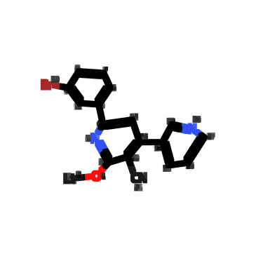 CCOc1nc(-c2cccc(Br)c2)cc(-c2cccnc2)c1C#N